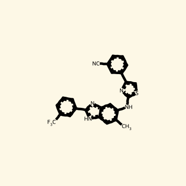 Cc1cc2[nH]c(-c3cccc(C(F)(F)F)c3)nc2cc1Nc1nc(-c2cccc(C#N)c2)cs1